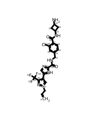 C=CCn1cc(-c2cnc(C(=O)NCc3ccc(C(=O)NC4CC(N)C4)c(Cl)c3)[nH]2)c(C(F)(F)F)n1